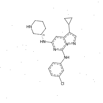 Clc1cccc(Nc2nc(N[C@H]3CCCNC3)cc3c(C4CC4)cnn23)c1